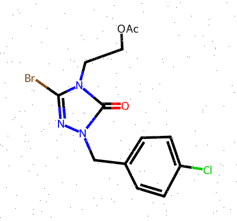 CC(=O)OCCn1c(Br)nn(Cc2ccc(Cl)cc2)c1=O